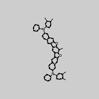 Cc1ccc(N(c2ccccc2)c2ccc3cc4c(cc3c2)oc2c(C)c3oc5cc6cc(N(c7ccccc7)c7ccc(C)c(C)c7)ccc6cc5c3cc24)cc1C